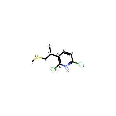 CSC[C@@H](C)c1ccc(Cl)nc1Cl